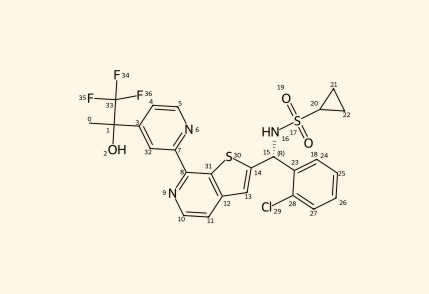 CC(O)(c1ccnc(-c2nccc3cc([C@H](NS(=O)(=O)C4CC4)c4ccccc4Cl)sc23)c1)C(F)(F)F